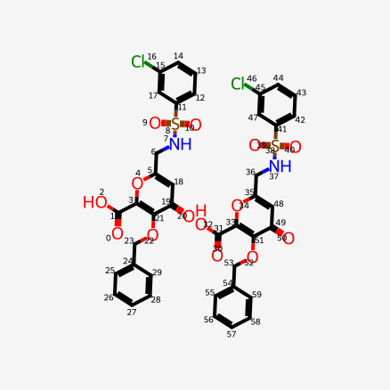 O=C(O)c1oc(CNS(=O)(=O)c2cccc(Cl)c2)cc(=O)c1OCc1ccccc1.O=C(O)c1oc(CNS(=O)(=O)c2cccc(Cl)c2)cc(=O)c1OCc1ccccc1